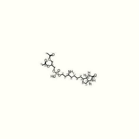 CC(=O)OCC(COP(=O)(O)OCCC(N)CCCCC1SC[C@@H]2NC(=O)N[C@H]12)OC(C)=O